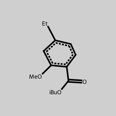 CCc1ccc(C(=O)OCC(C)C)c(OC)c1